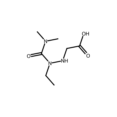 CCN(NCC(=O)O)C(=O)N(C)C